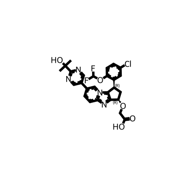 CC(C)(O)c1ncc(-c2ccc3nc4c(n3c2)[C@@H](c2cc(Cl)ccc2OC(F)F)C[C@H]4OCC(=O)O)cn1